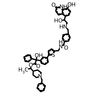 CC(OC(=O)C(O)(c1ccccc1)c1cccc(-c2ccc(CNC(=O)c3ccc(CNCC(O)c4ccc(O)c5[nH]c(=O)ccc45)cc3)s2)c1)C1CCN(Cc2ccccc2)CC1